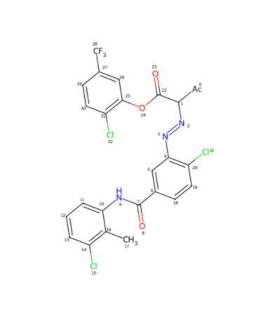 CC(=O)C(N=Nc1cc(C(=O)Nc2cccc(Cl)c2C)ccc1Cl)C(=O)Oc1cc(C(F)(F)F)ccc1Cl